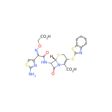 Nc1nc(/C(=N/OCC(=O)O)C(=O)NC2C(=O)N3C(C(=O)O)=C(Sc4nc5ccccc5s4)CS[C@@H]23)cs1